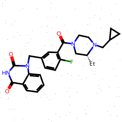 CC[C@@H]1CN(C(=O)c2cc(Cn3c(=O)[nH]c(=O)c4ccccc43)ccc2F)CCN1CC1CC1